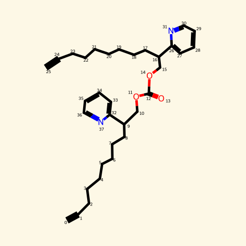 C#CCCCCCCCC(COC(=O)OCC(CCCCCCCC#C)c1ccccn1)c1ccccn1